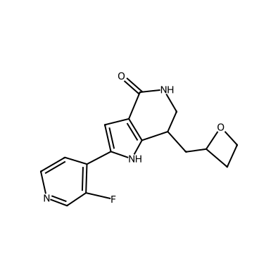 O=C1NCC(CC2CCO2)c2[nH]c(-c3ccncc3F)cc21